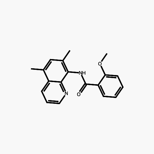 COc1ccccc1C(=O)Nc1c(C)cc(C)c2cccnc12